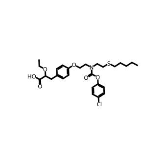 CCCCCSCCN(CCOc1ccc(CC(OCC)C(=O)O)cc1)C(=O)Oc1ccc(Cl)cc1